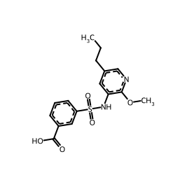 CCCc1cnc(OC)c(NS(=O)(=O)c2cccc(C(=O)O)c2)c1